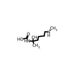 CNCCCCC(C)(C)NC(=O)O